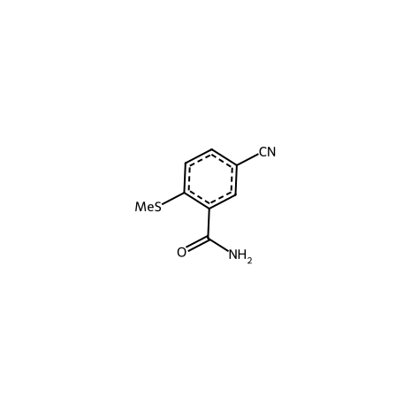 CSc1ccc(C#N)cc1C(N)=O